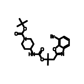 CC(C)(C)OC(=O)N1CCC(NC(=O)OC(C)(C)Cc2nc3cccc(Br)c3o2)CC1